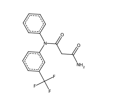 NC(=O)CC(=O)N(c1ccccc1)c1cccc(C(F)(F)F)c1